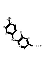 CCOC(=O)c1cnc(Oc2ccc(C(C)C)cc2)c(F)c1